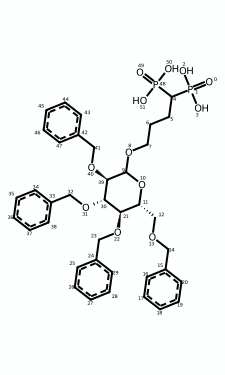 O=P(O)(O)C(CCCOC1O[C@H](COCc2ccccc2)[C@@H](OCc2ccccc2)[C@H](OCc2ccccc2)[C@H]1OCc1ccccc1)P(=O)(O)O